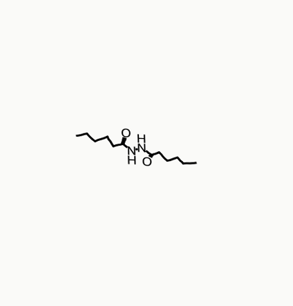 CCCCCC(=O)NNC(=O)CCCCC